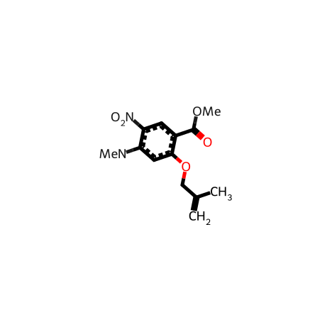 C=C(C)COc1cc(NC)c([N+](=O)[O-])cc1C(=O)OC